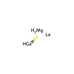 [La].[MgH2].[S]=[GaH]